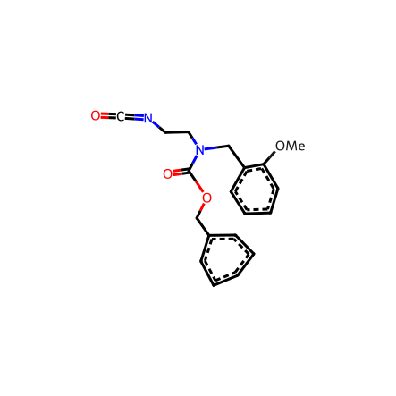 COc1ccccc1CN(CCN=C=O)C(=O)OCc1ccccc1